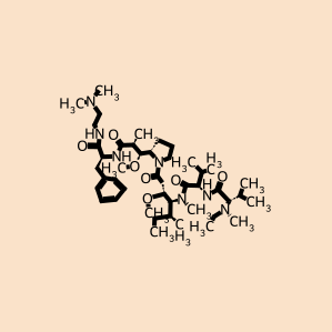 CC[C@H](C)[C@@H]([C@@H](CC(=O)N1CCC[C@H]1[C@H](OC)[C@@H](C)C(=O)N[C@@H](Cc1ccccc1)C(=O)NCCN(C)C)OC)N(C)C(=O)[C@@H](NC(=O)[C@H](C(C)C)N(C)CC)C(C)C